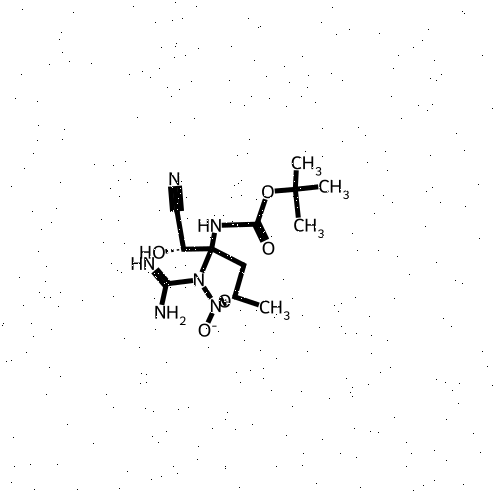 CCCC(NC(=O)OC(C)(C)C)([C@H](O)C#N)N(C(=N)N)[N+](=O)[O-]